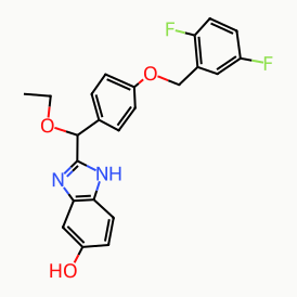 CCOC(c1ccc(OCc2cc(F)ccc2F)cc1)c1nc2cc(O)ccc2[nH]1